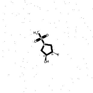 CS(=O)(=O)N1C[C@H](O)[C@@H](F)C1